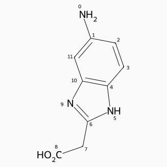 Nc1ccc2[nH]c(CC(=O)O)nc2c1